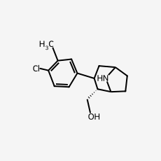 Cc1cc(C2CC3CCC(N3)[C@@H]2CO)ccc1Cl